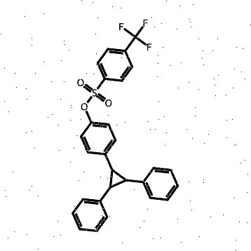 O=S(=O)(Oc1ccc(C2C(c3ccccc3)C2c2ccccc2)cc1)c1ccc(C(F)(F)F)cc1